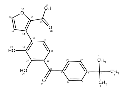 CC(C)(C)c1ccc(C(=O)c2ccc(-c3ccoc3C(=O)O)c(O)c2O)cc1